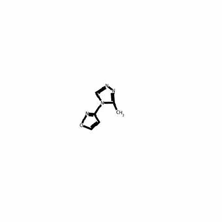 Cc1nncn1-c1ccon1